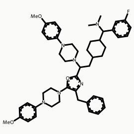 COc1ccc(N2CCN(c3oc(C(CC4CCC(C(c5cccc(F)c5)N(C)C)CC4)N4CCN(c5ccc(OC)cc5)CC4)nc3Cc3ccccc3)CC2)cc1